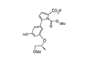 COC[C@H](C)Oc1cc(O)cc(-c2ccc(C(=O)O)n2C(=O)OC(C)(C)C)c1